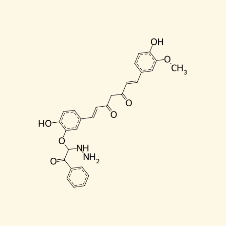 COc1cc(C=CC(=O)CC(=O)C=Cc2ccc(O)c(OC(NN)C(=O)c3ccccc3)c2)ccc1O